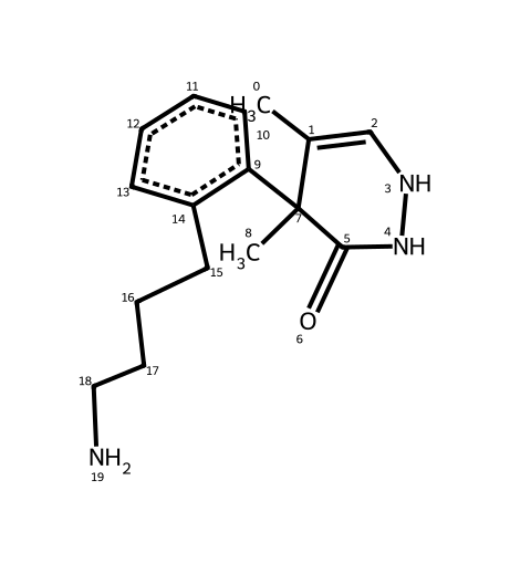 CC1=CNNC(=O)C1(C)c1ccccc1CCCCN